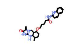 C=C1C(=O)NC2NC3C(C)CCC(OCCCCC(=O)Nc4ccc5ccccc5n4)C3CN12